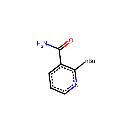 CCCCc1ncccc1C(N)=O